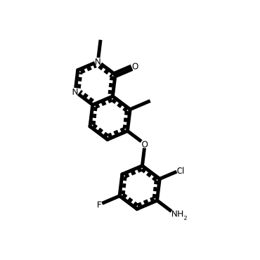 Cc1c(Oc2cc(F)cc(N)c2Cl)ccc2ncn(C)c(=O)c12